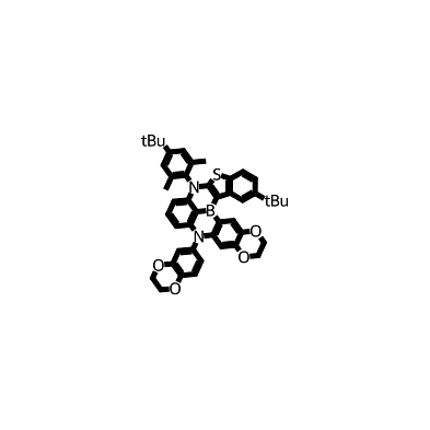 Cc1cc(C(C)(C)C)cc(C)c1N1c2cccc3c2B(c2cc4c(cc2N3c2ccc3c(c2)OCCO3)OCCO4)c2c1sc1ccc(C(C)(C)C)cc21